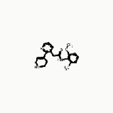 COc1cccc(C)c1NC(=O)Cc1cccnc1C1=CCNCC1